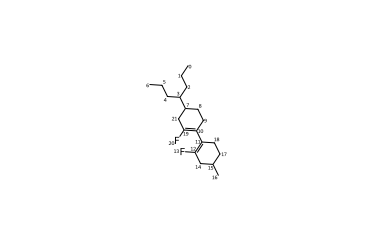 CCCC(CCC)C1CCC(C2=C(F)CC(C)CC2)=C(F)C1